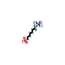 CC[N+](CC)(CC)CC.O=S(=O)([O-])CCCCCCC(F)F